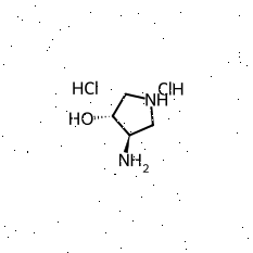 Cl.Cl.N[C@@H]1CNC[C@H]1O